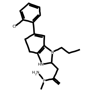 C=C(CC1NC2=C(C=C(c3ccccc3Cl)CC2)N1CCC)P(C)N